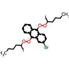 CCCCC(I)OOc1c2ccccc2c(OOC(I)CCCC)c2cc(Br)ccc12